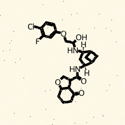 O=C(N[C@H]1C[C@@H](NC(O)COc2ccc(Cl)c(F)c2)C2CC1C2)C1COC2CCCC(=O)C21